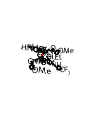 CCCCCCNC1CCN(S(=O)(=O)c2sc(CNC(=O)c3cccc(OC)c3)cc2Cl)CC1.CCOC(=O)c1cc(CNC(=O)c2cccc(OC)c2)sc1S(=O)(=O)N1CCC(NCc2ccc(C(F)(F)F)cc2)CC1